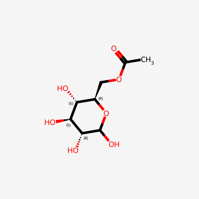 CC(=O)OC[C@H]1OC(O)[C@H](O)[C@@H](O)[C@@H]1O